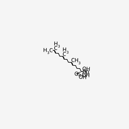 CC(C)=CCC/C(C)=C/CC/C(C)=C/CCCC(S(=O)O)P(=O)(O)O